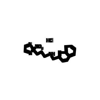 Cl.O=[N+]([O-])C1(CCCNCc2ccc3ccccc3n2)N=CC=N1